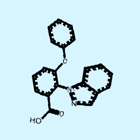 O=C(O)c1cccc(Oc2ccccc2)c1-n1ncc2ccccc21